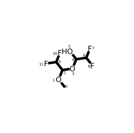 COC(OC(O)C(F)F)C(F)F